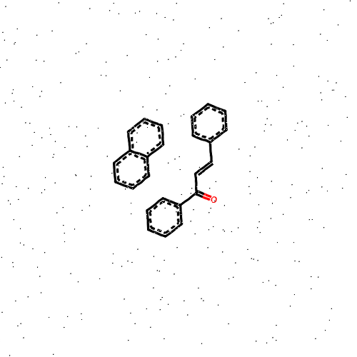 O=C(C=Cc1ccccc1)c1ccccc1.c1ccc2ccccc2c1